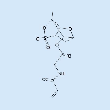 C=CC(=O)NCC(=O)OC1C2CC3C(O2)C1(C)OS3(=O)=O